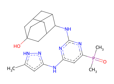 Cc1cc(Nc2cc(P(C)(C)=O)nc(NC3C4CC5CC3CC(O)(C5)C4)n2)n[nH]1